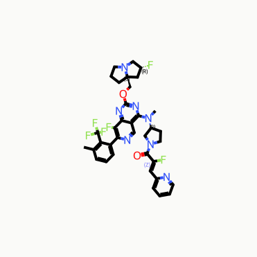 Cc1cccc(-c2ncc3c(N(C)[C@@H]4CCN(C(=O)/C(F)=C/c5ccccn5)C4)nc(OC[C@@]45CCCN4C[C@H](F)C5)nc3c2F)c1C(F)(F)F